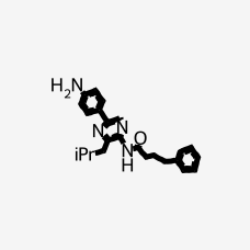 CC(C)Cc1nc(-c2ccc(N)cc2)cnc1NC(=O)CCCc1ccccc1